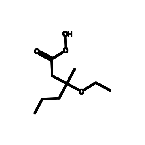 CCCC(C)(CC(=O)OO)OCC